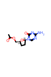 CC(=O)OC[C@@H]1CC[C@H](n2cnc(N)nc2=O)O1